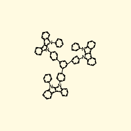 c1ccc(-n2c3ccccc3c3c4ccccc4n(-c4ccc(-c5cc(-c6ccc(-n7c8ccccc8c8c9ccccc9n(-c9ccccc9)c87)cc6)cc(-c6ccc(-n7c8ccccc8c8c9ccccc9n(-c9ccccc9)c87)cc6)c5)cc4)c32)cc1